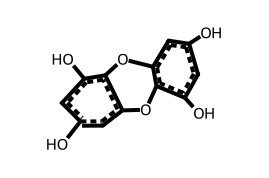 Oc1cc(O)c2c(c1)Oc1c(O)cc(O)cc1O2